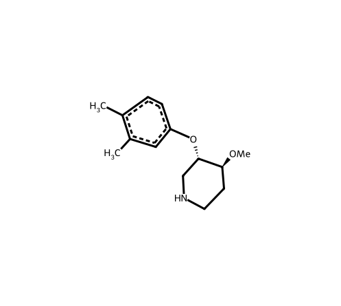 CO[C@H]1CCNC[C@@H]1Oc1ccc(C)c(C)c1